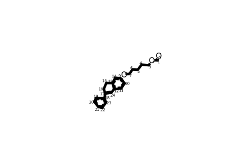 O=COCCCCCOc1ccc2c(c1)CCC(c1ccccc1)=C2